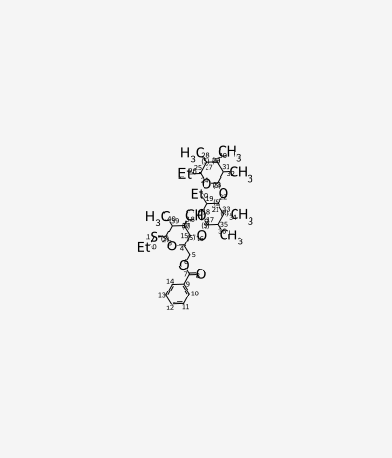 CCS[C@@H]1OC(COC(=O)c2ccccc2)[C@@H](O[C@@H]2OC(CC)[C@@H](O[C@@H]3OC(CC)[C@@H](C)[C@H](C)C3C)[C@H](C)C2C)[C@H](C)C1C